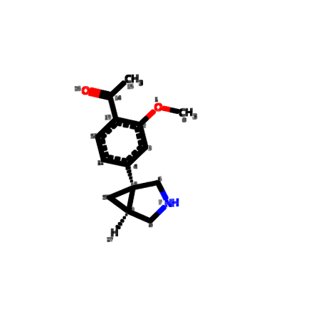 COc1cc([C@]23CNC[C@H]2C3)ccc1C(C)=O